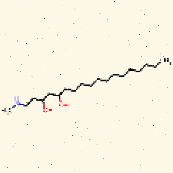 CCCCCCCCCCCCCC(O)CC(O)CCNC